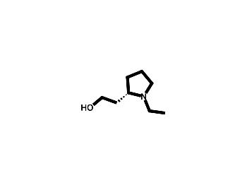 CCN1CCC[C@H]1CCO